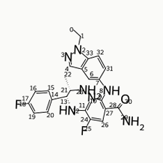 CCn1ncc2cc(Nc3nc(N[C@H](c4ccc(F)cc4)[C@H](C)N)c(F)cc3C(N)=O)ccc21